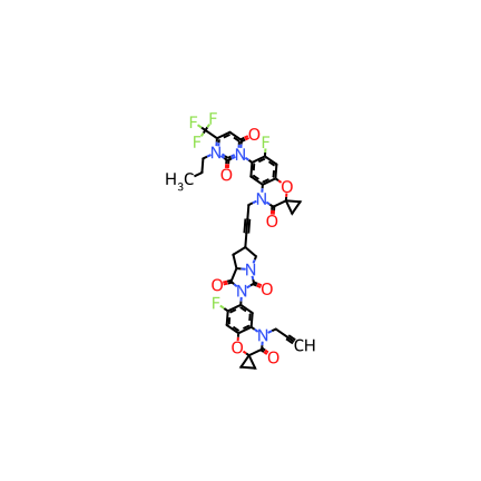 C#CCN1C(=O)C2(CC2)Oc2cc(F)c(N3C(=O)C4CC(C#CCN5C(=O)C6(CC6)Oc6cc(F)c(-n7c(=O)cc(C(F)(F)F)n(CCC)c7=O)cc65)CN4C3=O)cc21